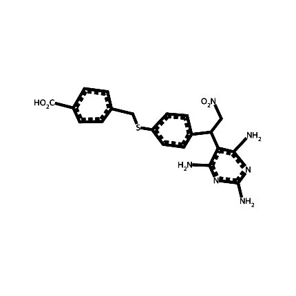 Nc1nc(N)c(C(C[N+](=O)[O-])c2ccc(SCc3ccc(C(=O)O)cc3)cc2)c(N)n1